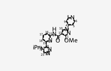 COc1nn(-c2ccncc2)cc1C(=O)Nc1cccc(-c2nncn2C(C)C)n1